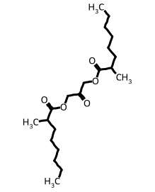 CCCCCCC(C)C(=O)OCC(=O)COC(=O)C(C)CCCCCC